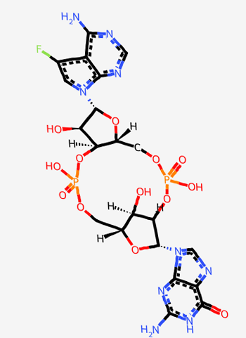 Nc1nc2c(ncn2[C@@H]2O[C@@H]3COP(=O)(O)O[C@H]4[C@@H](O)[C@H](n5cc(F)c6c(N)ncnc65)O[C@@H]4COP(=O)(O)O[C@@H]2[C@@H]3O)c(=O)[nH]1